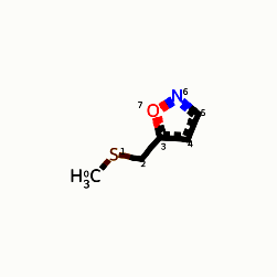 CSCc1c[c]no1